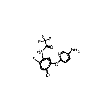 Nc1ccc(Oc2cc(NC(=O)C(F)(F)F)c(F)cc2Cl)nc1